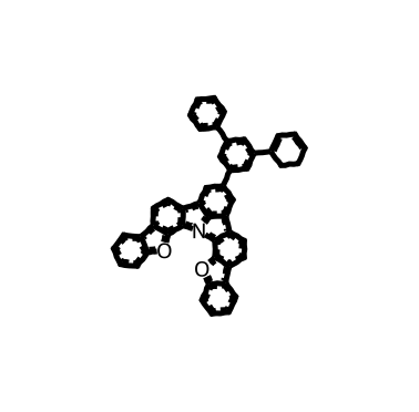 C1=CCCC(c2cc(-c3ccccc3)cc(-c3cc4c5ccc6c7ccccc7oc6c5n5c4c(c3)c3ccc4c6ccccc6oc4c35)c2)=C1